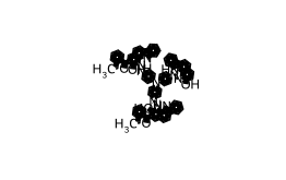 CCc1ccccc1C(=O)c1cc2ccc3c4ccccc4[nH]c3c2c(N=Nc2ccc(N(c3ccc(N=Nc4c(O)ccc5ccc6c7ccccc7[nH]c6c45)cc3)c3ccc(N=Nc4c(O)c(C(=O)c5ccccc5CC)cc5ccc6c7ccccc7[nH]c6c45)cc3)cc2)c1O